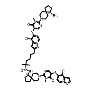 Cn1c(N2CCC3(CCC[C@H]3N[S@+]([O-])C(C)(C)CCCCc3cc4c(Cl)c(Sc5cnc(N6CCC7(CCC[C@H]7N)CC6)n(C)c5=O)ccn4n3)CC2)ncc(Sc2ccn3nccc3c2Cl)c1=O